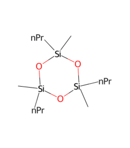 CCC[Si]1(C)O[Si](C)(CCC)O[Si](C)(CCC)O1